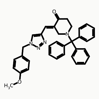 COc1ccc(Cn2cc(C=C3CN(C(c4ccccc4)(c4ccccc4)c4ccccc4)CCC3=O)nn2)cc1